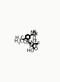 CC(C)(C)c1ccc(-c2nnn[nH]2)cc1Sc1nc(C(F)(F)F)c(C(=O)O)s1